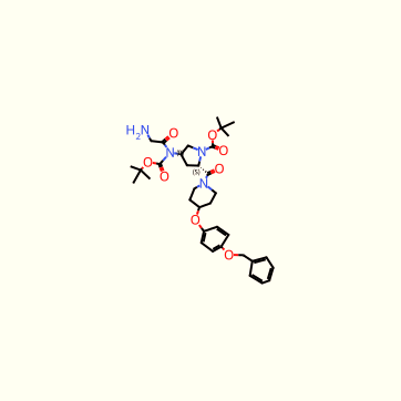 CC(C)(C)OC(=O)N1C[C@H](N(C(=O)CN)C(=O)OC(C)(C)C)C[C@H]1C(=O)N1CCC(Oc2ccc(OCc3ccccc3)cc2)CC1